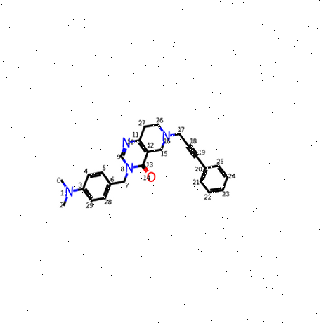 CN(C)c1ccc(Cn2cnc3c(c2=O)CN(CC#Cc2ccccc2)CC3)cc1